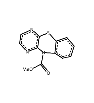 COC(=O)N1c2ccccc2Sc2nccnc21